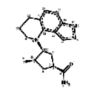 CC[C@@H]1C[C@H](C(N)=O)C[C@@H]1N1CCCc2cnc3[nH]ccc3c21